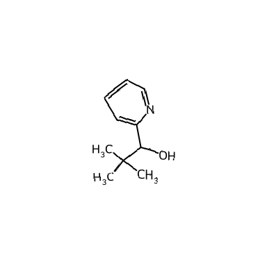 CC(C)(C)C(O)c1ccccn1